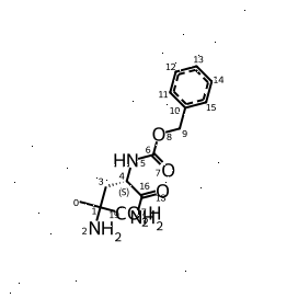 CC(N)(C[C@H](NC(=O)OCc1ccccc1)C(N)=O)C(=O)O